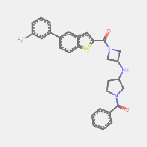 O=C(c1ccccc1)N1CCC(NC2CN(C(=O)c3cc4cc(-c5cccc(C(F)(F)F)c5)ccc4s3)C2)C1